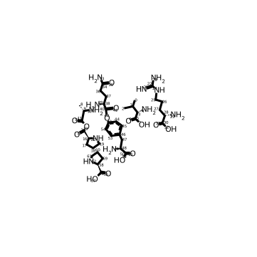 CC(C)[C@H](N)C(=O)O.C[C@H](N)C(=O)OC(=O)[C@@H]1CCCN1.N=C(N)NCCC[C@H](N)C(=O)O.NC(=O)CC[C@H](N)C(=O)Oc1ccc(C[C@H](N)C(=O)O)cc1.O=C(O)[C@@H]1CCCN1